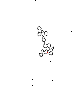 c1ccc(N(c2ccc(-c3ccc4c5c(cccc35)C3(c5ccccc5-c5ccccc53)c3ccc5c(oc6ccccc65)c3-4)cc2)c2cccc3c2oc2ccccc23)cc1